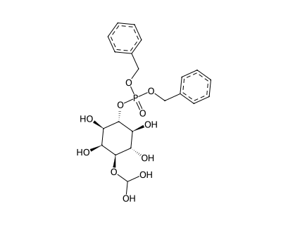 O=P(OCc1ccccc1)(OCc1ccccc1)O[C@H]1[C@H](O)[C@H](O)[C@H](OC(O)O)[C@@H](O)[C@@H]1O